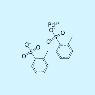 Cc1ccccc1S(=O)(=O)[O-].Cc1ccccc1S(=O)(=O)[O-].[Pd+2]